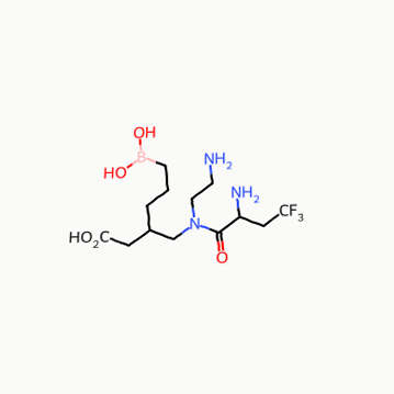 NCCN(CC(CCCB(O)O)CC(=O)O)C(=O)C(N)CC(F)(F)F